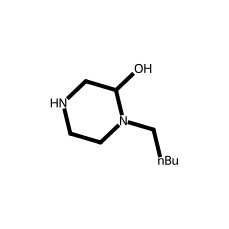 CCCCCN1CCNCC1O